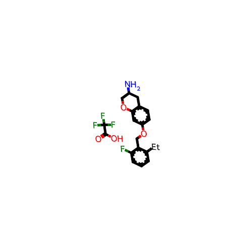 CCc1cccc(F)c1COc1ccc2c(c1)OCC(N)C2.O=C(O)C(F)(F)F